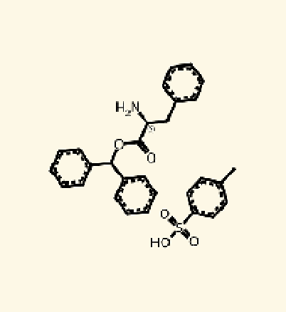 Cc1ccc(S(=O)(=O)O)cc1.N[C@@H](Cc1ccccc1)C(=O)OC(c1ccccc1)c1ccccc1